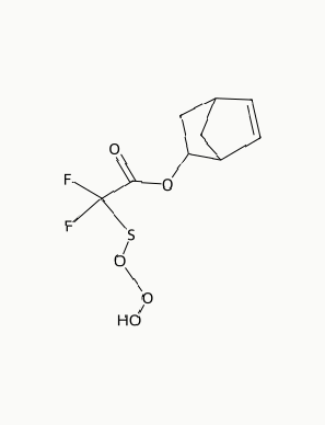 O=C(OC1CC2C=CC1C2)C(F)(F)SOOO